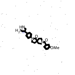 COc1cccc(C(=O)N2CCC3(CC2)CCN(c2ccc(/C(C=N)=C/N)cc2)C3=O)c1